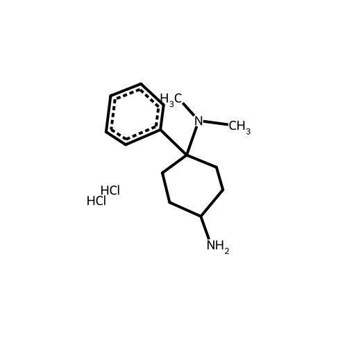 CN(C)C1(c2ccccc2)CCC(N)CC1.Cl.Cl